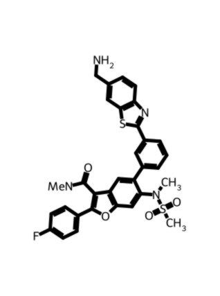 CNC(=O)c1c(-c2ccc(F)cc2)oc2cc(N(C)S(C)(=O)=O)c(-c3cccc(-c4nc5ccc(CN)cc5s4)c3)cc12